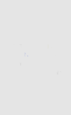 CCCC(CS)CCN(CCC)CCC